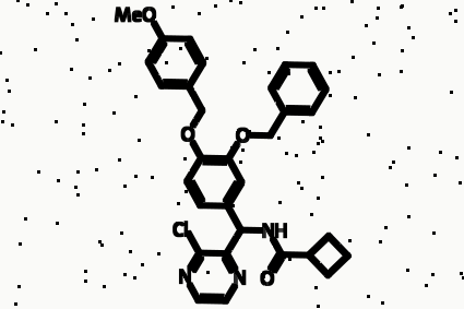 COc1ccc(COc2ccc(C(NC(=O)C3CCC3)c3nccnc3Cl)cc2OCc2ccccc2)cc1